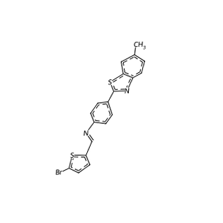 Cc1ccc2nc(-c3ccc(/N=C/c4ccc(Br)s4)cc3)sc2c1